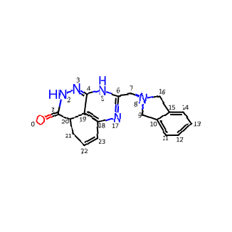 O=C1NN=C2NC(CN3Cc4ccccc4C3)=NC3=C2C1CC=C3